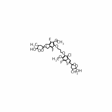 COc1c(F)c2c(c(F)c1OCCCOc1c(OC)c(F)c3sc(C(=O)CC(C)C(=O)O)cc3c1Cl)CN(C(=O)CC(C)C(=O)O)C2